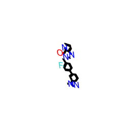 CN1C=NC2C=CC(c3ccc(Cn4cnc5cccnc5c4=O)c(F)c3)=CC21